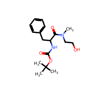 CN(CCO)C(=O)C(Cc1ccccc1)NC(=O)OC(C)(C)C